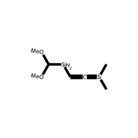 COC(OC)[SiH2]C=C=[Si](C)C